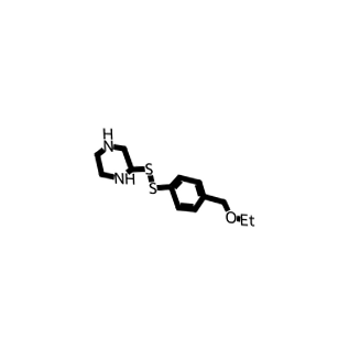 CCOCc1ccc(SSC2CNCCN2)cc1